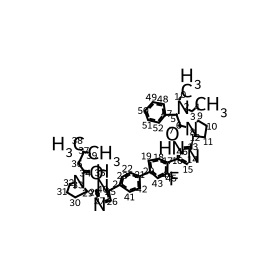 CCN(CC)[C@@H](C(=O)N1CCC[C@H]1c1ncc(-c2ccc(-c3ccc(-c4cnc([C@@H]5CCCN5C(=O)CC(C)C)[nH]4)cc3)cc2F)[nH]1)c1ccccc1